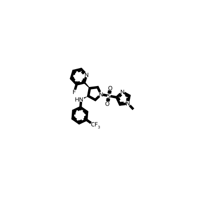 Cn1cnc(S(=O)(=O)N2C[C@H](Nc3cccc(C(F)(F)F)c3)[C@@H](c3ncccc3F)C2)c1